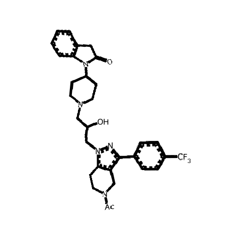 CC(=O)N1CCc2c(c(-c3ccc(C(F)(F)F)cc3)nn2CC(O)CN2CCC(N3C(=O)Cc4ccccc43)CC2)C1